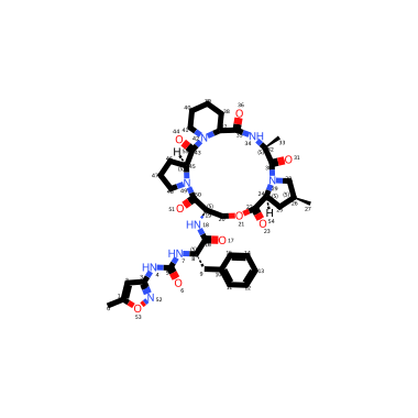 Cc1cc(NC(=O)N[C@@H](Cc2ccccc2)C(=O)N[C@H]2COC(=O)[C@@H]3C[C@H](C)CN3C(=O)[C@H](C)NC(=O)C3CCCCN3C(=O)[C@@H]3CCCN3C2=O)no1